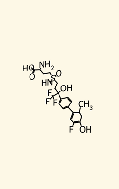 CC1CC(O)=C(F)C=C1c1ccc(C(O)(CCS(=N)(=O)CC[C@H](N)C(=O)O)C(F)(F)F)cc1